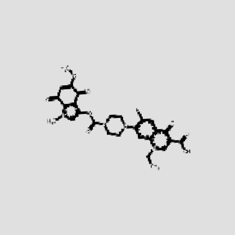 CCn1cc(C(=O)O)c(=O)c2cc(F)c(N3CCN(C(=O)Oc4cn(C)c5c4C(=O)C(OC)=CC5=O)CC3)cc21